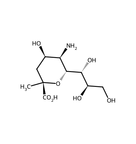 C[C@]1(C(=O)O)C[C@@H](O)[C@@H](N)[C@H]([C@H](O)[C@H](O)CO)O1